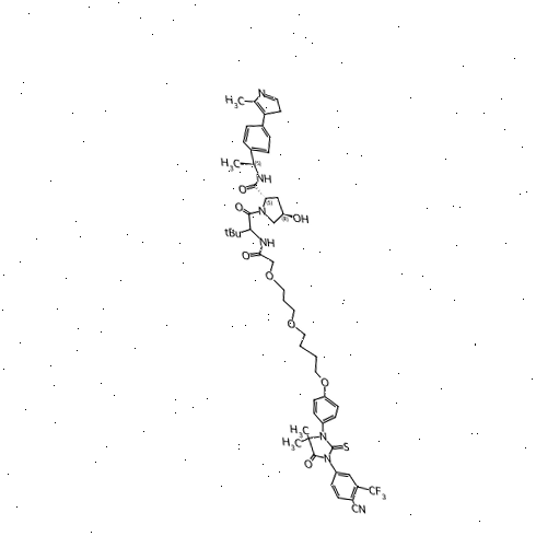 CC1=C(c2ccc([C@H](C)NC(=O)[C@@H]3C[C@@H](O)CN3C(=O)C(NC(=O)COCCCOCCCCOc3ccc(N4C(=S)N(c5ccc(C#N)c(C(F)(F)F)c5)C(=O)C4(C)C)cc3)C(C)(C)C)cc2)CC=N1